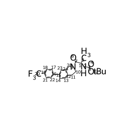 C[C@@H](NC(=O)OC(C)(C)C)C(=O)N1CCc2ccc(-c3ccc(C(F)(F)F)cc3)cc2C1